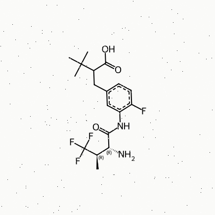 C[C@H]([C@@H](N)C(=O)Nc1cc(CC(C(=O)O)C(C)(C)C)ccc1F)C(F)(F)F